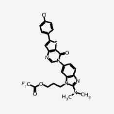 CN(C)c1nc2ccc(-n3cnc4cc(-c5ccc(Cl)cc5)sc4c3=O)cc2n1CCCOC(=O)C(F)(F)F